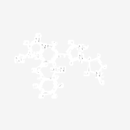 CN1CC[C@@H](n2cc(-c3cc(Sc4ccccc4C#N)c4c(C#N)cnn4c3)cn2)C1